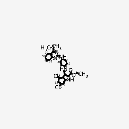 CCOC(=O)c1[nH]c2cc(Cl)cc(Cl)c2c1CN[C@H]1CC[C@@H](Nc2nc3c(c(N(C)C)n2)CCCC3)CC1